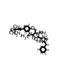 COC(C)(C)C#Cc1ccc2c(c1)N(C)C(=O)[C@@H](N(N)C(=O)c1nnc(Cc3ccccc3)[nH]1)CO2